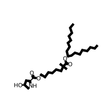 CCCCCCCCC(CCCCCCCC)OC(=O)C(C)(C)CCCCCCOC(=O)[C@@H]1C[C@H](O)CN1